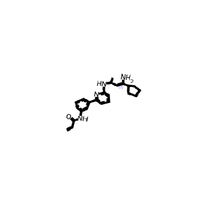 C=CC(=O)Nc1cccc(-c2cccc(NC(C)/C=C(\N)C3CCCC3)n2)c1